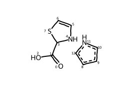 O=C(O)C1NC=CS1.c1cc[nH]c1